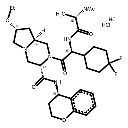 CCO[C@@H]1C[C@H]2CN(C(=O)[C@@H](NC(=O)[C@H](C)NC)C3CCC(F)(F)CC3)[C@H](C(=O)N[C@@H]3CCOc4ccccc43)CN2C1.Cl.Cl